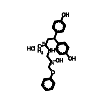 C[C@@H](CC(c1ccc(O)cc1)c1ccc(O)cc1)NC[C@H](O)COc1ccccc1.Cl